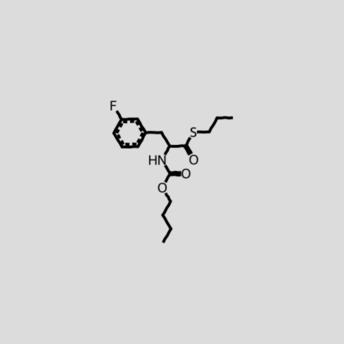 CCCCOC(=O)NC(Cc1cccc(F)c1)C(=O)SCCC